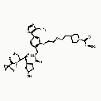 Cc1ncsc1-c1ccc(CNC(=O)[C@@H]2C[C@@H](O)CN2C(=O)C(NC(=O)C2(F)CC2)C(C)(C)C)c(OCCOCCC2CCN(C(=O)OC(C)(C)C)CC2)c1